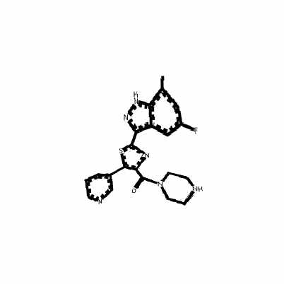 Cc1cc(F)cc2c(-c3nc(C(=O)N4CCNCC4)c(-c4cccnc4)s3)n[nH]c12